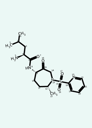 CC(C)C[C@H](N)C(=O)N[C@H]1CC[C@@H](C)N(S(=O)(=O)c2ccccn2)CC1=O